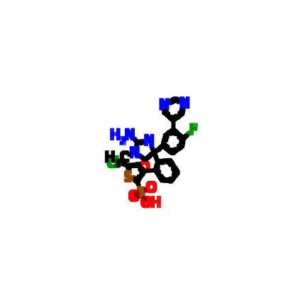 CN1C(=O)C(c2ccc(F)c(-c3cncnc3)c2)(c2ccccc2-c2cc(Cl)sc2S(=O)(=O)O)N=C1N